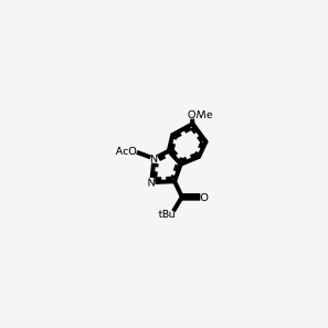 COc1ccc2c(C(=O)C(C)(C)C)nn(OC(C)=O)c2c1